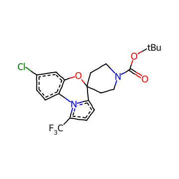 CC(C)(C)OC(=O)N1CCC2(CC1)Oc1cc(Cl)ccc1-n1c(C(F)(F)F)ccc12